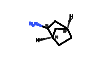 N[C@H]1C[C@H]2CC[C@@H]1C2